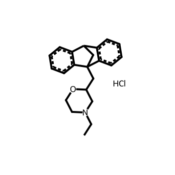 CCN1CCOC(CC23CC(c4ccccc42)c2ccccc23)C1.Cl